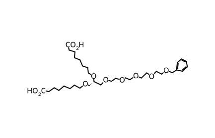 O=C(O)CCCCCCCOC[C@@H](COCCOCCOCCOCCOCc1ccccc1)OCCCCCCCC(=O)O